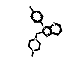 Cc1ccc(-n2c(CN3CCN(C)CC3)nc3cccnc32)cc1